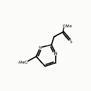 COC(=S)Cc1nccc(OC)n1